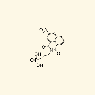 O=C1c2cccc3cc([N+](=O)[O-])cc(c23)C(=O)N1CCCP(=O)(O)O